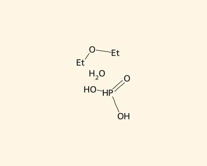 CCOCC.O.O=[PH](O)O